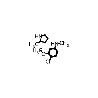 CC1CCCN1.CNc1ccc(Cl)c(OC)c1